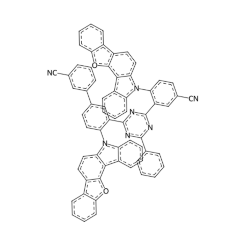 N#Cc1cccc(-c2ccc(-n3c4ccccc4c4c5oc6ccccc6c5ccc43)c(-c3nc(-c4ccccc4)nc(-c4cc(C#N)ccc4-n4c5ccccc5c5c6oc7ccccc7c6ccc54)n3)c2)c1